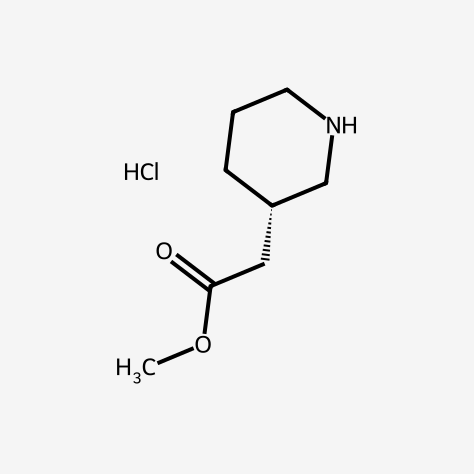 COC(=O)C[C@@H]1CCCNC1.Cl